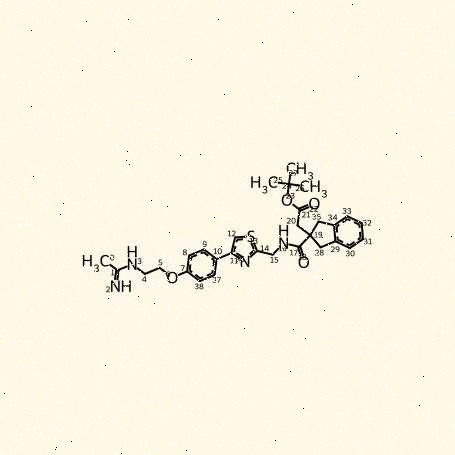 CC(=N)NCCOc1ccc(-c2csc(CNC(=O)C3(CC(=O)OC(C)(C)C)Cc4ccccc4C3)n2)cc1